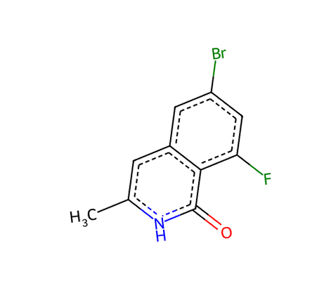 Cc1cc2cc(Br)cc(F)c2c(=O)[nH]1